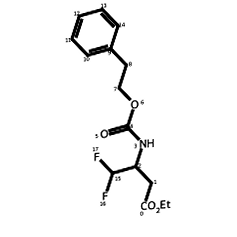 CCOC(=O)CC(NC(=O)OCCc1ccccc1)C(F)F